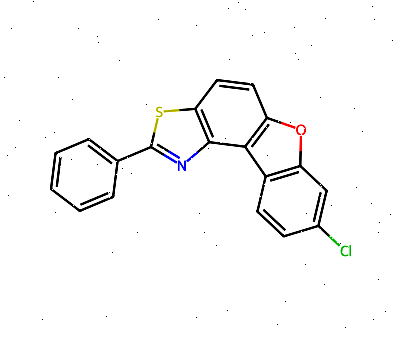 Clc1ccc2c(c1)oc1ccc3sc(-c4ccccc4)nc3c12